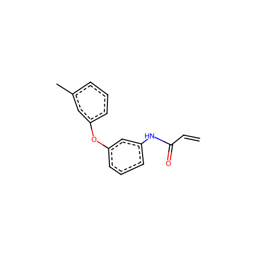 C=CC(=O)Nc1cccc(Oc2cccc(C)c2)c1